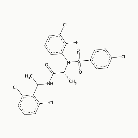 CC(NC(=O)[C@@H](C)N(c1cccc(Cl)c1F)S(=O)(=O)c1ccc(Cl)cc1)c1c(Cl)cccc1Cl